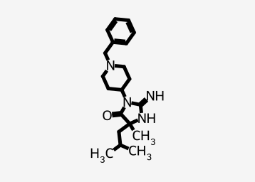 CC(C)CC1(C)NC(=N)N(C2CCN(Cc3ccccc3)CC2)C1=O